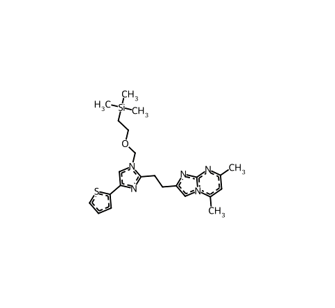 Cc1cc(C)n2cc(CCc3nc(-c4cccs4)cn3COCC[Si](C)(C)C)nc2n1